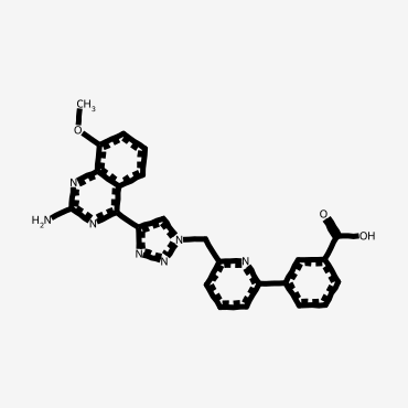 COc1cccc2c(-c3cn(Cc4cccc(-c5cccc(C(=O)O)c5)n4)nn3)nc(N)nc12